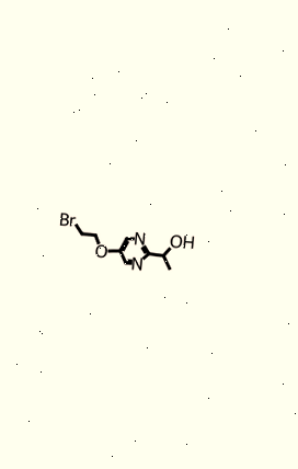 CC(O)c1ncc(OCCBr)cn1